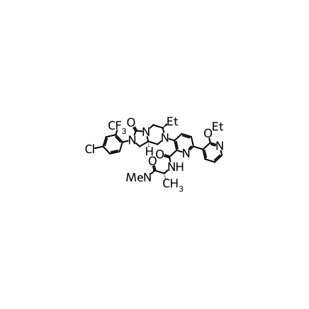 CCOc1ncccc1-c1ccc(N2C[C@H]3CN(c4ccc(Cl)cc4C(F)(F)F)C(=O)N3C[C@H]2CC)c(C(=O)N[C@H](C)C(=O)NC)n1